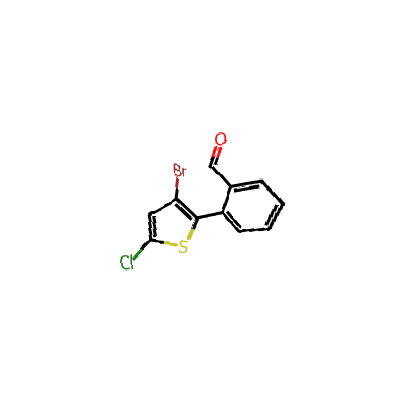 O=Cc1ccccc1-c1sc(Cl)cc1Br